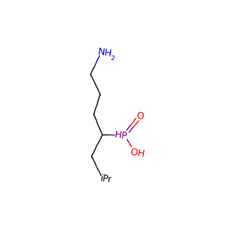 CC(C)CC(CCCN)[PH](=O)O